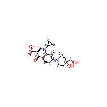 Cc1c(N2CCC(O)(CO)CC2)ccc2c(=O)c(C(=O)O)cn(C3CC3)c12